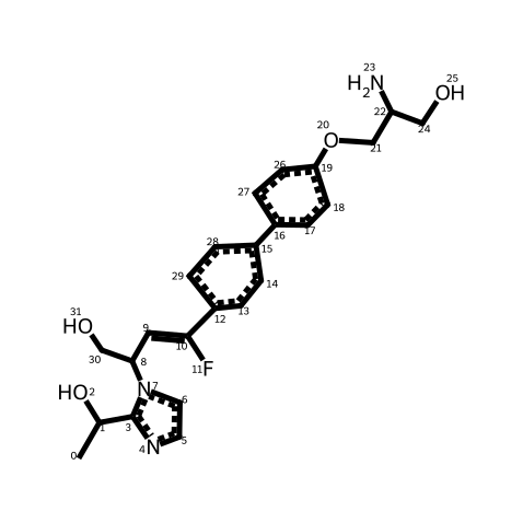 CC(O)c1nccn1C(/C=C(\F)c1ccc(-c2ccc(OCC(N)CO)cc2)cc1)CO